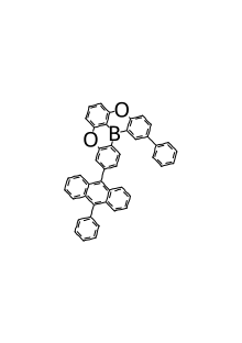 c1ccc(-c2ccc3c(c2)B2c4ccc(-c5c6ccccc6c(-c6ccccc6)c6ccccc56)cc4Oc4cccc(c42)O3)cc1